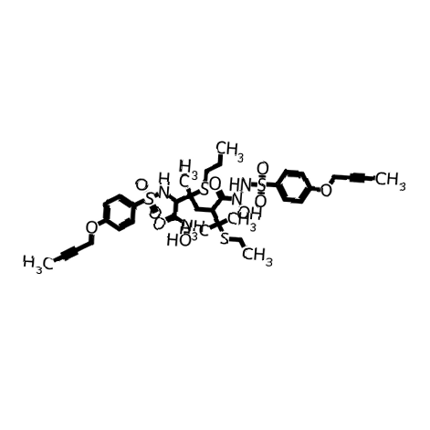 CC#CCOc1ccc(S(=O)(=O)NC(C(=O)NO)C(C)(CC(C(=O)N(O)NS(=O)(=O)c2ccc(OCC#CC)cc2)C(C)(C)SCC)SCCC)cc1